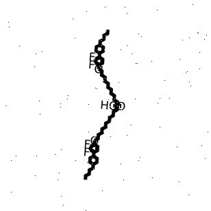 CCCCCC1CCC(c2ccc(OCCCCCCCCCCCP(=O)(O)CCCCCCCCCCCOc3ccc(C4CCC(CCCCC)CC4)c(F)c3F)c(F)c2F)CC1